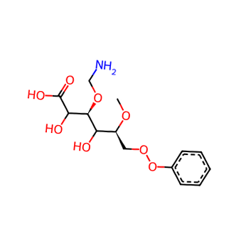 CO[C@@H](COOc1ccccc1)C(O)[C@H](OCN)C(O)C(=O)O